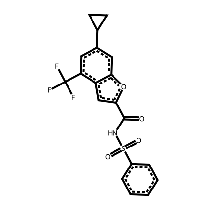 O=C(NS(=O)(=O)c1ccccc1)c1cc2c(C(F)(F)F)cc(C3CC3)cc2o1